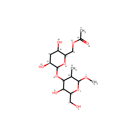 COC1OC(CO)C(O)C(OC2OC(COC(C)=O)C(O)C[C@@H]2O)C1C